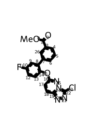 COC(=O)c1cccc(-c2cc(F)ccc2Oc2ccc3nnc(Cl)n3n2)c1